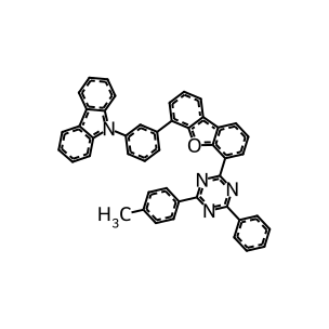 Cc1ccc(-c2nc(-c3ccccc3)nc(-c3cccc4c3oc3c(-c5cccc(-n6c7ccccc7c7ccccc76)c5)cccc34)n2)cc1